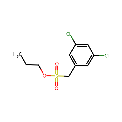 CCCOS(=O)(=O)Cc1cc(Cl)cc(Cl)c1